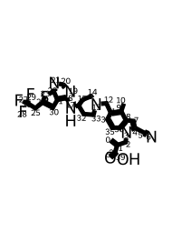 C=C(Cn1c(C#N)cc2c(C)c(CN3CCC(Nc4ncnc5sc(CC(F)(F)F)cc45)CC3)ccc21)C(=O)O